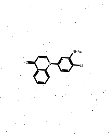 CCc1ccc(-n2ccc(=O)c3ccccc32)cc1NC(C)=O